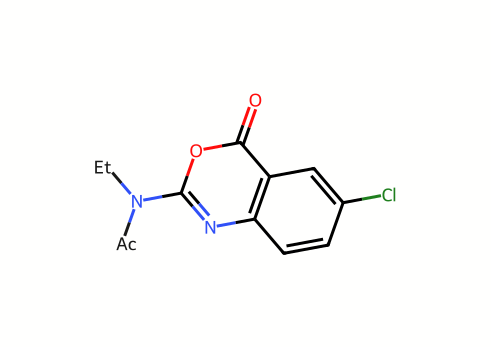 CCN(C(C)=O)c1nc2ccc(Cl)cc2c(=O)o1